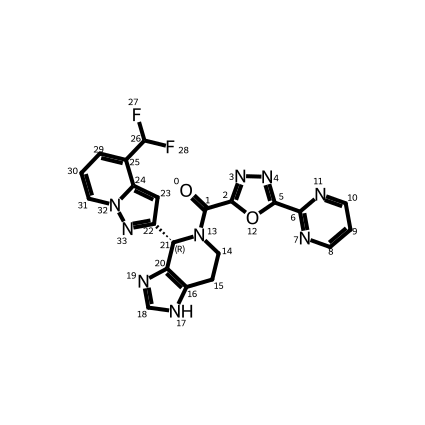 O=C(c1nnc(-c2ncccn2)o1)N1CCc2[nH]cnc2[C@@H]1c1cc2c(C(F)F)cccn2n1